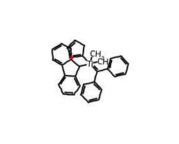 [CH3][Ti]([CH3])([C]1=CC=CC1)(=[C](c1ccccc1)c1ccccc1)[CH]1c2ccccc2-c2ccccc21